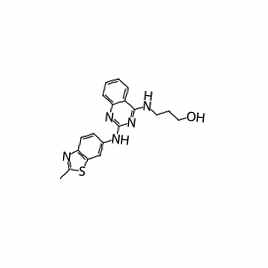 Cc1nc2ccc(Nc3nc(NCCCO)c4ccccc4n3)cc2s1